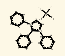 F[B-](F)(F)F.c1ccc(-c2n(-c3ccccc3)cc[n+]2-c2ccccc2)cc1